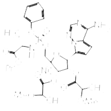 COC(C)C(=O)O[C@H]1[C@H](c2ccc3c(N)ncnn23)O[C@](C#N)(CO[P@@](=O)(N[C@@H](C)C(=O)OC(C)C)Oc2ccccc2)[C@H]1OC(=O)C(C)OC